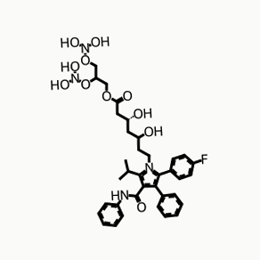 CC(C)c1c(C(=O)Nc2ccccc2)c(-c2ccccc2)c(-c2ccc(F)cc2)n1CCC(O)C[C@@H](O)CC(=O)OCC(CON(O)O)ON(O)O